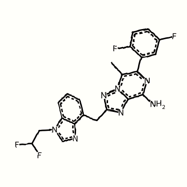 Cc1c(-c2cc(F)ccc2F)nc(N)c2nc(Cc3cccc4c3ncn4CC(F)F)nn12